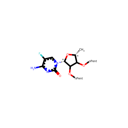 CCCCCOC1C(OCCCCC)[C@@H](C)O[C@H]1n1cc(F)c(N)nc1=O